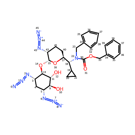 [N-]=[N+]=N[C@H]1C[C@@H](N=[N+]=[N-])[C@H](O)[C@@H](O)[C@@H]1O[C@H]1O[C@H]([C@@H](C2CC2)N(Cc2ccccc2)C(=O)OCc2ccccc2)CC[C@H]1N=[N+]=[N-]